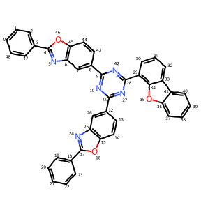 c1ccc(-c2nc3cc(-c4nc(-c5ccc6oc(-c7ccccc7)nc6c5)nc(-c5cccc6c5oc5ccccc56)n4)ccc3o2)cc1